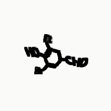 CCc1cc(C=O)cc(Br)c1O